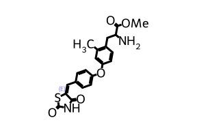 COC(=O)C(N)Cc1ccc(Oc2ccc(/C=C3/SC(=O)NC3=O)cc2)cc1C